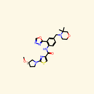 CO[C@H]1CCN(c2nc(C(=O)Nc3ccc(CN4CCOCC4(C)C)cc3-c3nnco3)cs2)C1